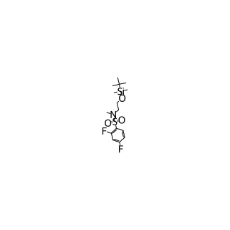 CN(CCO[Si](C)(C)C(C)(C)C)S(=O)(=O)c1ccc(F)cc1F